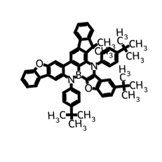 CC(C)(C)c1ccc(N2B3c4oc5ccc(C(C)(C)C)cc5c4N(c4ccc(C(C)(C)C)cc4)c4c3c(cc3c4C(C)(C)c4ccccc4-3)-c3cc4oc5ccccc5c4cc32)cc1